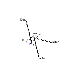 CCCCCCCCCCCCCCCCCCc1c(CCCCCCCCCCCCCCCCCC)c(I(=O)=O)c(C(=O)O)c(CCCCCCCCCCCCCCCCCC)c1C(=O)O